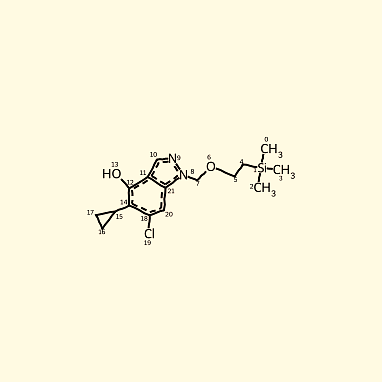 C[Si](C)(C)CCOCn1ncc2c(O)c(C3CC3)c(Cl)cc21